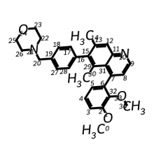 COc1cccc(-c2ccnc3cc(C)c(-c4ccc(CN5CCOCC5)cc4)c(C)c23)c1OC